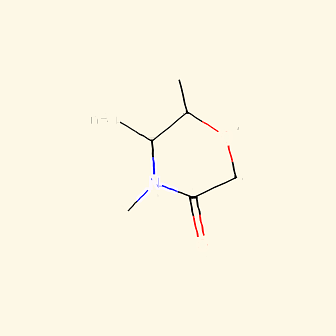 CCCCC1C(C)OCC(=O)N1C